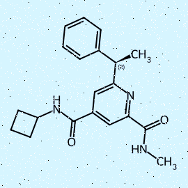 CNC(=O)c1cc(C(=O)NC2CCC2)cc([C@H](C)c2ccccc2)n1